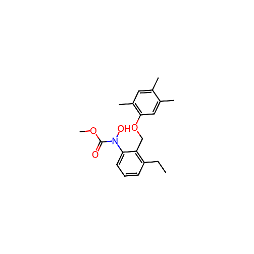 CCc1cccc(N(O)C(=O)OC)c1COc1cc(C)c(C)cc1C